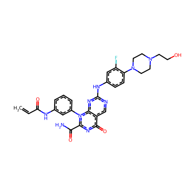 C=CC(=O)Nc1cccc(-n2c(C(N)=O)nc(=O)c3cnc(Nc4ccc(N5CCN(CCO)CC5)c(F)c4)nc32)c1